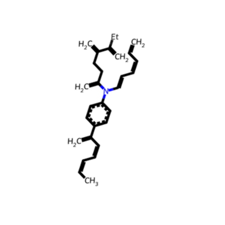 C=C/C=C\C=C\N(C(=C)CCC(=C)C(=C)CC)c1ccc(C(=C)/C=C\C=C/C)cc1